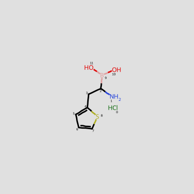 Cl.NC(Cc1cccs1)B(O)O